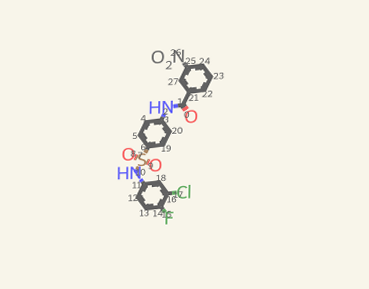 O=C(Nc1ccc(S(=O)(=O)Nc2ccc(F)c(Cl)c2)cc1)c1cccc([N+](=O)[O-])c1